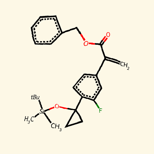 C=C(C(=O)OCc1ccccc1)c1ccc(C2(O[Si](C)(C)C(C)(C)C)CC2)c(F)c1